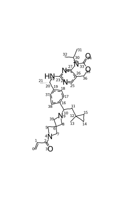 C=CC(=O)N1CC2(C1)CN(C(CC1(C)CC1)c1ccc([C@H](C)Nc3ncc4c(n3)N(C(C)C)C(=O)OC4)cc1)C2